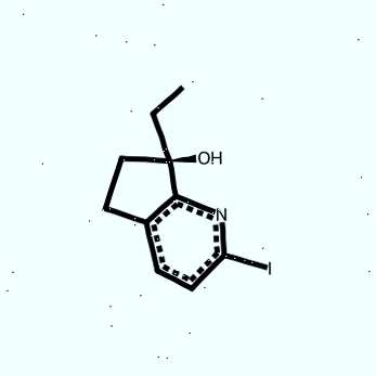 CC[C@@]1(O)CCc2ccc(I)nc21